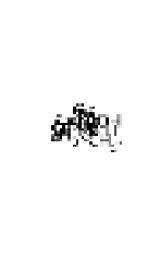 CC(C)(C)C1C(O)=CC(=O)N1CCC1CCCC1